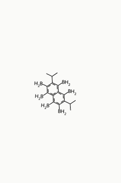 Bc1c(C(C)C)c(B)c2c(B)c(C(C)C)c(B)c(B)c2c1B